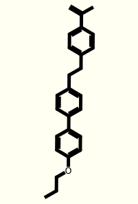 C=C(C)c1ccc(CCc2ccc(-c3ccc(OCCC)cc3)cc2)cc1